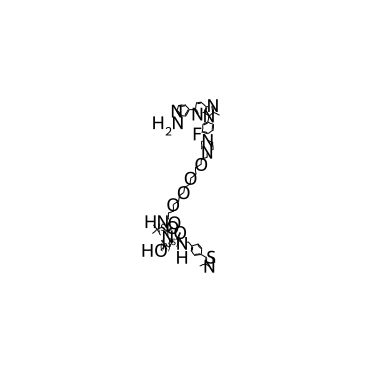 Cc1ncsc1-c1ccc(CNC(=O)[C@@H]2C[C@@H](O)CN2C(=O)[C@@H](NC(=O)CCOCCOCCOCCOCCN2CCN(c3ccc(-n4c(C)nc5ccc(-c6ccnc(N)c6)nc54)cc3F)CC2)C(C)(C)C)cc1